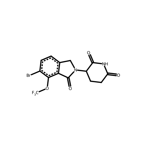 O=C1CCC(N2Cc3ccc(Br)c(OC(F)(F)F)c3C2=O)C(=O)N1